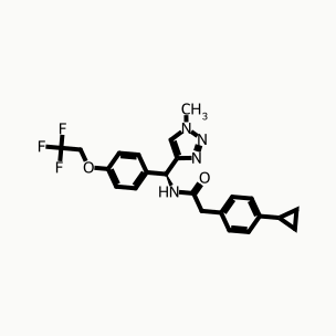 Cn1cc([C@@H](NC(=O)Cc2ccc(C3CC3)cc2)c2ccc(OCC(F)(F)F)cc2)nn1